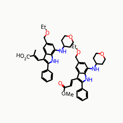 CCOCc1cc(NC2CCOCC2)c2[nH]c(-c3ccccc3)c(/C=C(\C)C(=O)O)c2c1.CCOCc1cc(NC2CCOCC2)c2[nH]c(-c3ccccc3)c(/C=C/C(=O)OC)c2c1